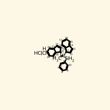 Cl.Cl.[CH3][Hf]([SiH2]c1ccccc1)([CH]1C=Cc2ccccc21)[CH]1C=Cc2ccccc21